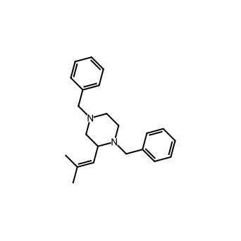 CC(C)=CC1CN(Cc2ccccc2)CCN1Cc1ccccc1